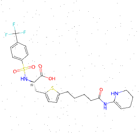 O=C(CCCCc1ccc(C[C@H](NS(=O)(=O)c2ccc(C(F)(F)F)cc2)C(=O)O)s1)NC1=CCCCN1